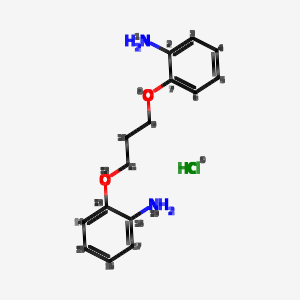 Cl.Nc1ccccc1OCCCOc1ccccc1N